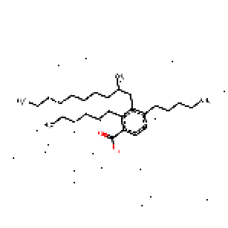 CCCCCCCCC(C)Cc1c(CCCCC)ccc(C(=O)O)c1CCCCCC